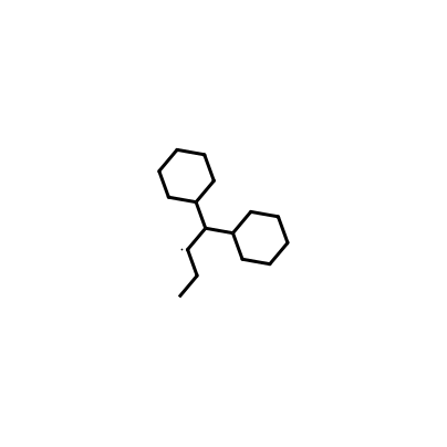 CC[CH]C(C1CCCCC1)C1CCCCC1